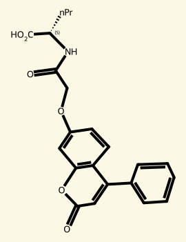 CCC[C@H](NC(=O)COc1ccc2c(-c3ccccc3)cc(=O)oc2c1)C(=O)O